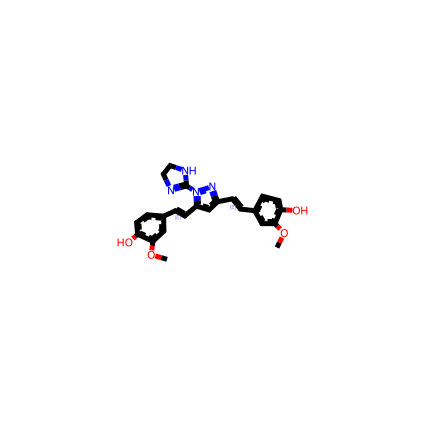 COc1cc(/C=C/c2cc(/C=C/c3ccc(O)c(OC)c3)n(C3=NCCN3)n2)ccc1O